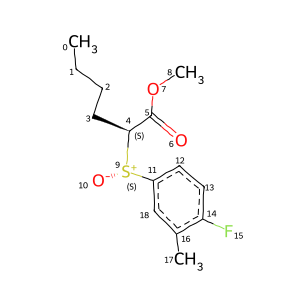 CCCC[C@@H](C(=O)OC)[S@@+]([O-])c1ccc(F)c(C)c1